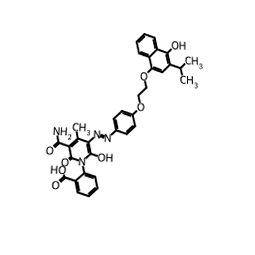 Cc1c(N=Nc2ccc(OCCOc3cc(C(C)C)c(O)c4ccccc34)cc2)c(O)n(-c2ccccc2C(=O)O)c(=O)c1C(N)=O